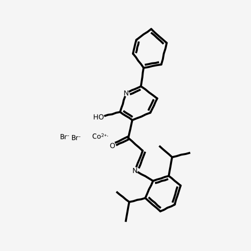 CC(C)c1cccc(C(C)C)c1N=CC(=O)c1ccc(-c2ccccc2)nc1O.[Br-].[Br-].[Co+2]